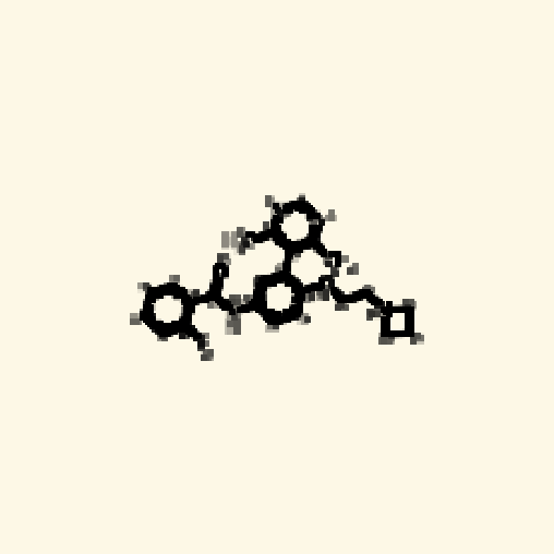 Cc1ncnc(C)c1-c1cc(NC(=O)c2ccccc2F)ccc1OCCN1CCC1